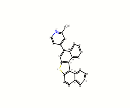 N#Cc1cc(-c2cc3sc4ccc5ccccc5c4c3c3ccccc23)ccn1